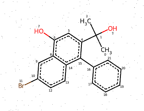 CC(C)(O)c1cc(O)c2cc(Br)ccc2c1-c1ccccc1